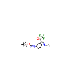 CCCn1cc(C(=O)C(F)(F)F)c2cc(NCCO[Si](C)(C)C(C)(C)C)ccc21